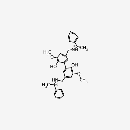 COc1cc(CN[C@H](C)c2ccccc2)cc(-c2cc(CN[C@H](C)c3ccccc3)cc(OC)c2O)c1O